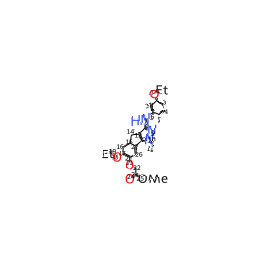 CCOc1cccc(Nc2nn(C)c3c2Cc2cc(OCC)c(OCC(=O)OC)cc2-3)c1